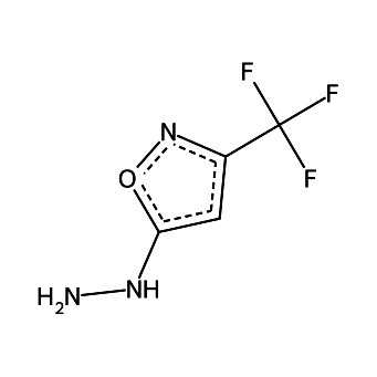 NNc1cc(C(F)(F)F)no1